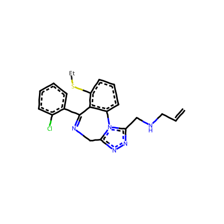 C=CCNCc1nnc2n1-c1cccc(SCC)c1C(c1ccccc1Cl)=NC2